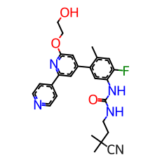 Cc1cc(F)c(NC(=O)NCCC(C)(C)C#N)cc1-c1cc(OCCO)nc(-c2ccncc2)c1